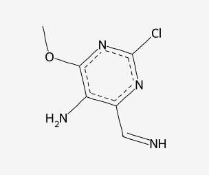 COc1nc(Cl)nc(C=N)c1N